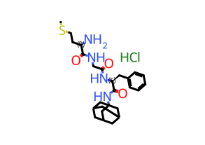 CSCC[C@@H](N)C(=O)NCC(=O)N[C@@H](Cc1ccccc1)C(=O)NC12CC3CC(CC(C3)C1)C2.Cl